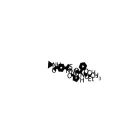 CCC(C)(C)OC(=O)N[C@@H](C(=O)N1CCCC1C(=O)Nc1nc(-c2ccc(C(=O)NC3CC3)cc2)cs1)c1ccccc1